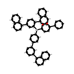 c1ccc(-c2ccc(N(c3ccc(-c4cccc(-c5cccc6ccccc56)c4)cc3)c3cc(-c4cccc5ccccc45)ccc3-c3cccc4ccccc34)cc2)cc1